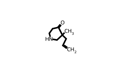 C=CCC1(C)CNCCC1=O